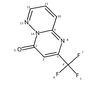 O=c1cc(C(F)(F)F)nc2cccnn12